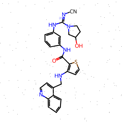 N#C/N=C(/Nc1cccc(NC(=O)c2sccc2NCc2ccnc3ccccc23)c1)N1CCC(O)C1